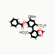 COc1cc(C(=O)O)c(-c2c(C(=O)O)ccc3c2OCO3)cc1OC(=O)c1ccccc1